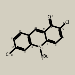 CCCCn1c2ccc(Cl)c(=O)c-2cc2ccc(Cl)cc21